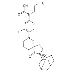 CCCN(C(=O)O)c1ccc(N2CCCC3(CCN(C45CC6CC(C4)C(O)C(C6)C5)C3=O)C2)c(F)c1